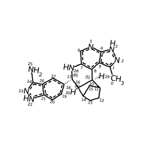 Cc1n[nH]c2ncc3c(c12)[C@H]1C2CCC(C2)[C@H]1[C@H](c1ccc2[nH]nc(N)c2c1)N3